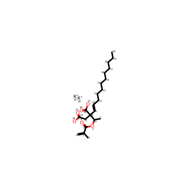 C=C(C)C(=O)OC(C)C(C=CCCCCCCCCCC)(CC(=O)[O-])C(=O)[O-].[K+].[K+]